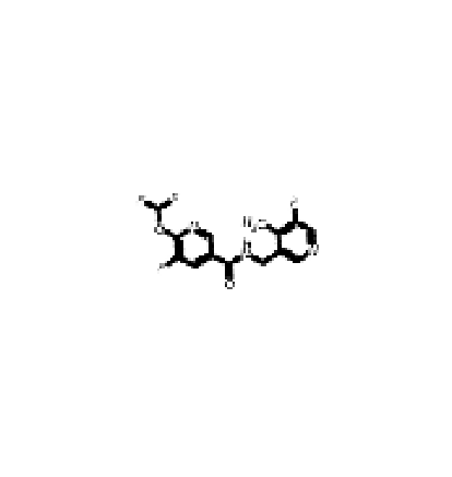 Cc1c(F)cncc1CNC(=O)c1cnc(OC(F)F)c(F)c1